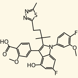 COc1cc(-n2c(C(C)(C)CCc3nnc(C)s3)c(-c3ccc(C(=O)O)c(OC)c3)c3c(O)cc(F)cc32)ccc1F